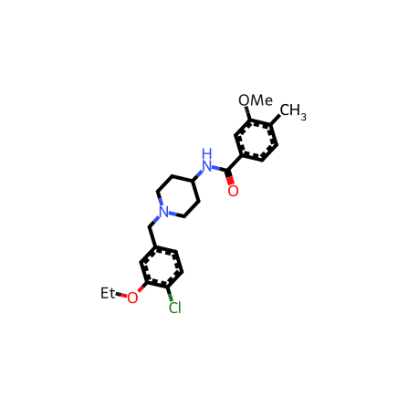 CCOc1cc(CN2CCC(NC(=O)c3ccc(C)c(OC)c3)CC2)ccc1Cl